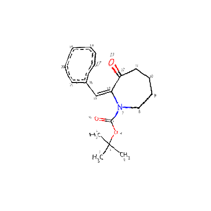 CC(C)(C)OC(=O)N1CCCCC(=O)/C1=C\c1ccccc1